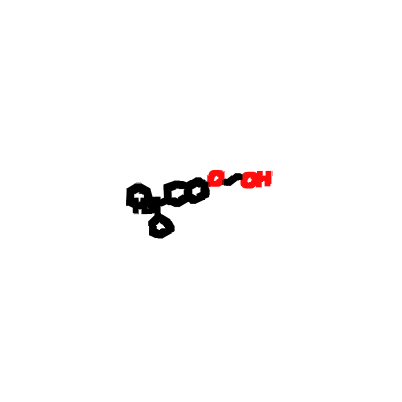 OCCOc1ccc2cc([SiH](c3ccccc3)c3ccccc3)ccc2c1